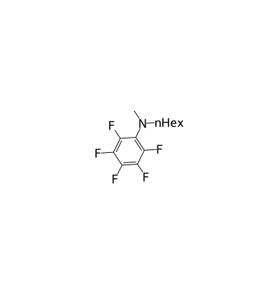 CCCCCCN(C)c1c(F)c(F)c(F)c(F)c1F